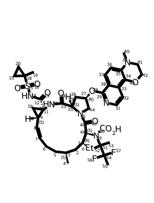 CC[C@@H]1C[C@@H](C)CCC=C[C@@H]2C[C@@]2(C(=O)NS(=O)(=O)C2(C)CC2)NC(=O)[C@@H]2C[C@@H](Oc3nccc4c5c(ccc34)N(C)CCO5)CN2C(=O)[C@H]1N(C(=O)O)C(C)(C)C(C)(F)F